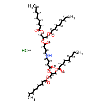 CCCCCCCCC(=O)OCC(COC(=O)CCCCCCCC)OC(=O)CCCNCCCC(=O)OC(COC(=O)CCCCCCCC)COC(=O)CCCCCCCC.Cl